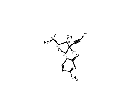 C[C@@H](O)[C@H]1O[C@@H](n2cnc(N)nc2=O)C(Cl)(C#CCl)[C@H]1O